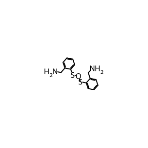 NCc1ccccc1SOSc1ccccc1CN